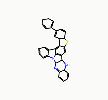 C1=CC2=NC3C(NC2C=C1)c1cc2c(c4c5ccccc5n3c14)C1C=C(C3=CCCC=C3)C=CC1S2